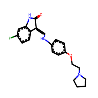 O=C1Nc2cc(F)ccc2/C1=C\Nc1ccc(OCCN2CCCC2)cc1